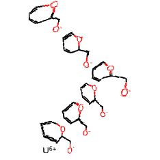 [O-]CC1C=CC=CO1.[O-]CC1C=CC=CO1.[O-]CC1C=CC=CO1.[O-]CC1C=CC=CO1.[O-]CC1C=CC=CO1.[O-]CC1C=CC=CO1.[U+6]